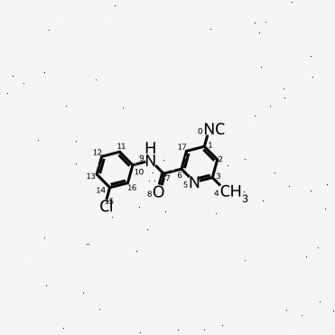 [C-]#[N+]c1cc(C)nc(C(=O)Nc2cccc(Cl)c2)c1